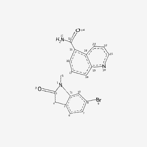 CN1C(=O)Cc2ccc(Br)cc21.NC(=O)c1cccc2ncccc12